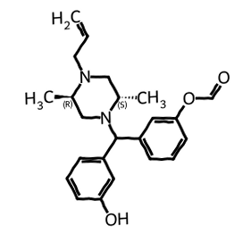 C=CCN1C[C@H](C)N(C(c2cccc(O)c2)c2cccc(OC=O)c2)C[C@H]1C